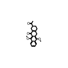 COc1c2c(c(OC)c3ccccc13)C(=O)C1=C(CCC(C(C)=O)C1)C2